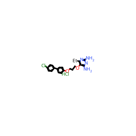 CCc1nc(N)nc(N)c1OCCCOc1ccc(-c2ccc(Cl)cc2)cc1.Cl